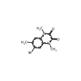 Cc1cc2c(cc1Br)n(C)c(=O)c(=O)n2C